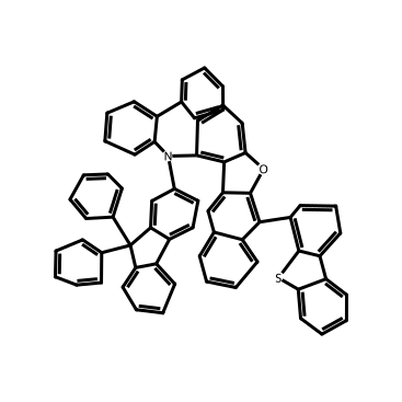 c1ccc(-c2ccccc2N(c2ccc3c(c2)C(c2ccccc2)(c2ccccc2)c2ccccc2-3)c2cccc3oc4c(-c5cccc6c5sc5ccccc56)c5ccccc5cc4c23)cc1